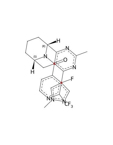 Cc1nc(-c2cnn(C)c2)c2c(n1)[C@H]1CCC[C@@H](C2)N1C(=O)c1ccnc(C(F)(F)F)c1F